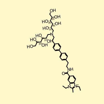 CCn1c(C)[n+](CC)c2ccc(C(=O)NCCc3ccc(-c4ccc(CCN(C[C@H](O)[C@@H](O)[C@H](O)[C@H](O)CO)C[C@H](O)[C@@H](O)[C@H](O)[C@H](O)CO)cc4)cc3)cc21